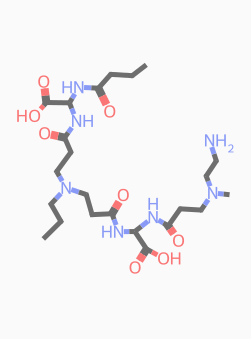 CCCC(=O)NC(NC(=O)CCN(CCC)CCC(=O)NC(NC(=O)CCN(C)CCN)C(=O)O)C(=O)O